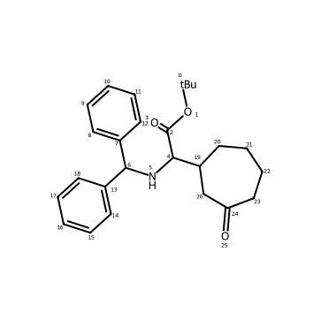 CC(C)(C)OC(=O)C(NC(c1ccccc1)c1ccccc1)C1CCCCC(=O)C1